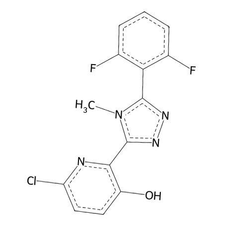 Cn1c(-c2nc(Cl)ccc2O)nnc1-c1c(F)cccc1F